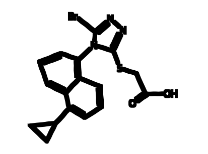 O=C(O)CSc1nnc(Br)n1-c1cccc2c(C3CC3)cccc12